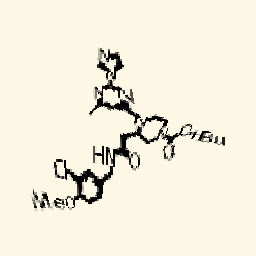 COc1ccc(CNC(=O)CC2CN(C(=O)OC(C)(C)C)CCN2c2cc(C)nc(-n3ccnc3)n2)cc1Cl